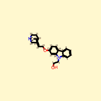 OCCn1c2ccccc2c2ccc(OCC=C3CN4CCC3CC4)cc21